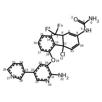 NC(=O)NC1=CC(C(F)(F)F)C(Cl)(c2ccccc2Oc2cc(-c3cccnc3)cnc2N)C=C1